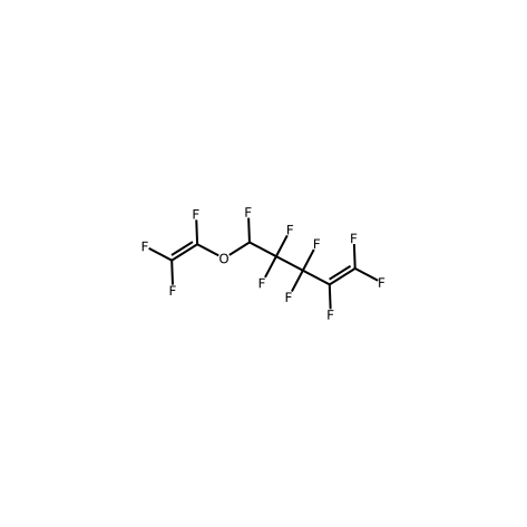 FC(F)=C(F)OC(F)C(F)(F)C(F)(F)C(F)=C(F)F